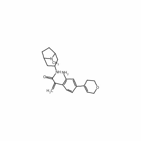 C=C(C(=O)NC1CC2CCC(C1)N2C)c1ccc(C2=CCOCC2)cc1N